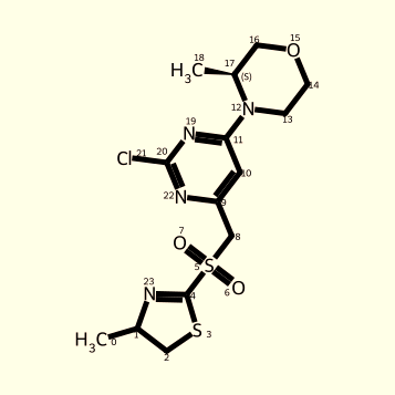 CC1CSC(S(=O)(=O)Cc2cc(N3CCOC[C@@H]3C)nc(Cl)n2)=N1